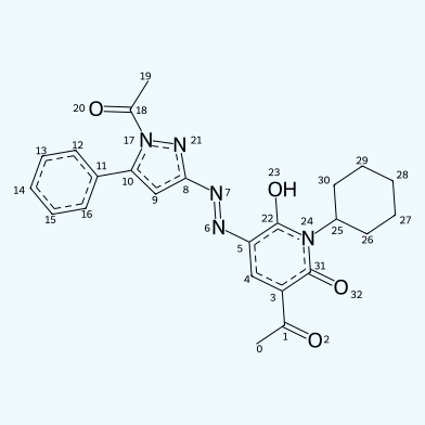 CC(=O)c1cc(N=Nc2cc(-c3ccccc3)n(C(C)=O)n2)c(O)n(C2CCCCC2)c1=O